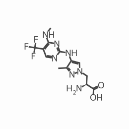 CNc1nc(Nc2cn(C[C@H](N)C(=O)O)nc2C)ncc1C(F)(F)F